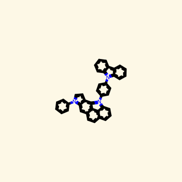 c1ccc(-n2ccc3c2cc2ccc4cccc5c4c2c3n5-c2ccc(-n3c4ccccc4c4ccccc43)cc2)cc1